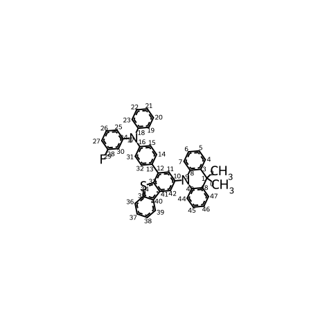 CC1(C)c2ccccc2N(c2cc(-c3ccc(N(c4ccccc4)c4cccc(F)c4)cc3)c3sc4ccccc4c3c2)c2ccccc21